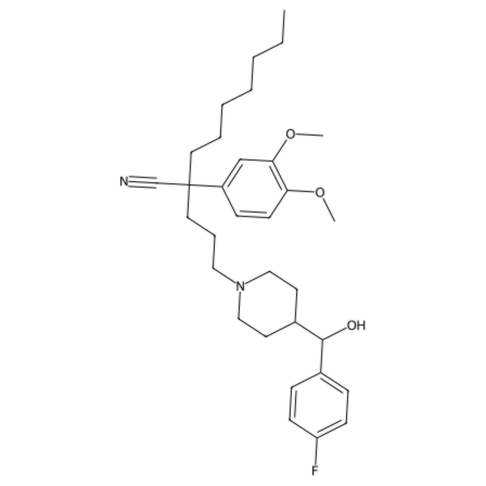 CCCCCCCC(C#N)(CCCN1CCC(C(O)c2ccc(F)cc2)CC1)c1ccc(OC)c(OC)c1